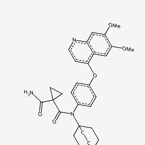 COc1cc2nccc(Oc3ccc(N(C(=O)C4(C(N)=O)CC4)C45CCC(CC4)CC5)cc3)c2cc1OC